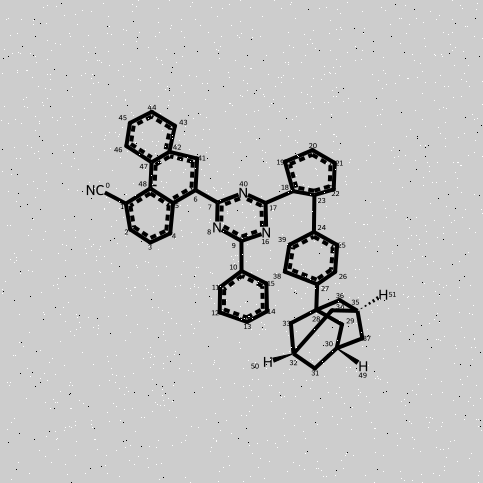 N#Cc1cccc2c(-c3nc(-c4ccccc4)nc(-c4ccccc4-c4ccc(C56C[C@H]7C[C@H](C5)C[C@@H](C6)C7)cc4)n3)cc3ccccc3c12